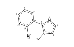 Cc1ccnn1-c1ccccc1Br